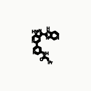 CC(C)CC(=O)Nc1cncc(-c2cc3c(-c4nc5cnccc5[nH]4)n[nH]c3cn2)c1